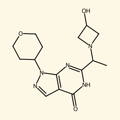 CC(c1nc2c(cnn2C2CCOCC2)c(=O)[nH]1)N1CC(O)C1